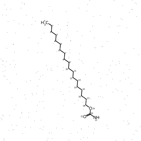 CCCCCCCCCCCCCCCCCCCOC([NH])=O